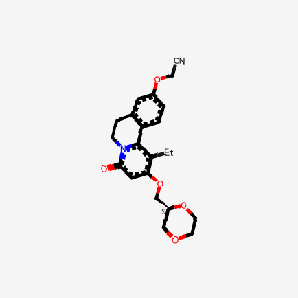 CCc1c(OC[C@@H]2COCCO2)cc(=O)n2c1-c1ccc(OCC#N)cc1CC2